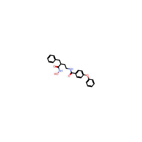 O=C(NCCC(Cc1ccccc1)C(=O)NO)c1ccc(Oc2ccccc2)cc1